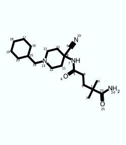 CC(C)(C[CH]C(=O)NC1(C#N)CCN(CC2CCCCC2)CC1)C(N)=O